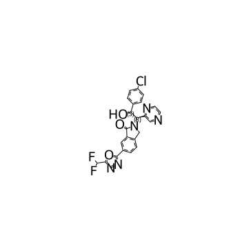 O=C1c2cc(-c3nnc(C(F)F)o3)ccc2CN1[C@H](c1cnccn1)[C@@H](O)c1ccc(Cl)cc1